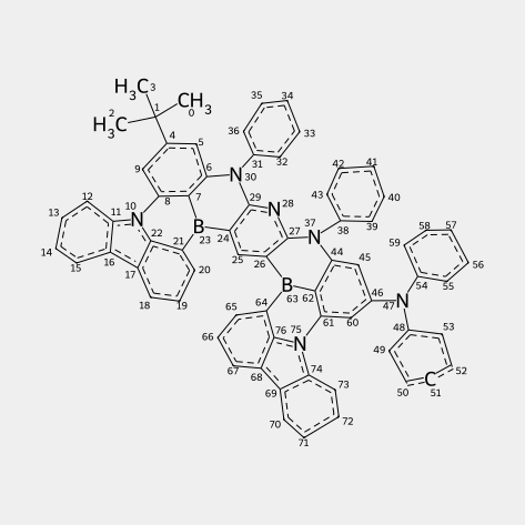 CC(C)(C)c1cc2c3c(c1)-n1c4ccccc4c4cccc(c41)B3c1cc3c(nc1N2c1ccccc1)N(c1ccccc1)c1cc(N(c2ccccc2)c2ccccc2)cc2c1B3c1cccc3c4ccccc4n-2c13